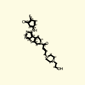 O=C(C=CCN1CCN(CCO)CC1)N1CCc2c(sc3ncnc(Nc4ccc(F)c(Cl)c4)c23)C1